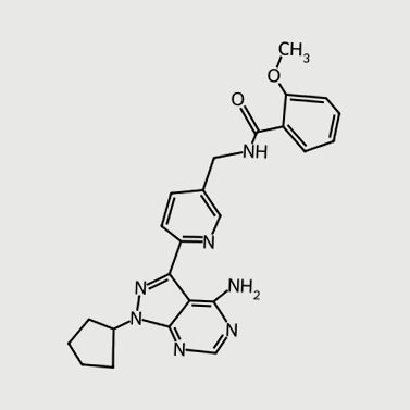 COc1ccccc1C(=O)NCc1ccc(-c2nn(C3CCCC3)c3ncnc(N)c23)nc1